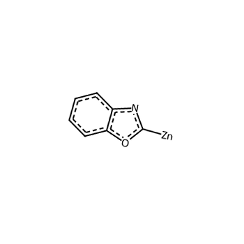 [Zn][c]1nc2ccccc2o1